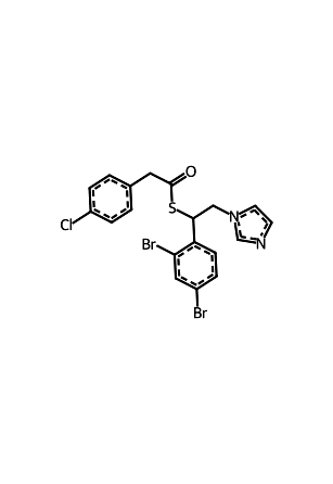 O=C(Cc1ccc(Cl)cc1)SC(Cn1ccnc1)c1ccc(Br)cc1Br